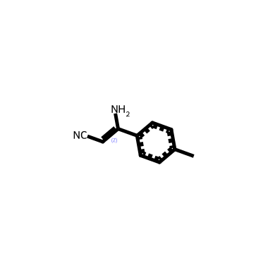 Cc1ccc(/C(N)=C/C#N)cc1